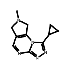 CN1Cc2cnc3nnc(C4CC4)n3c2C1